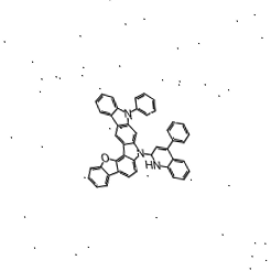 C1=C(c2ccccc2)c2ccccc2NC1n1c2cc3c(cc2c2c4oc5ccccc5c4ccc21)c1ccccc1n3-c1ccccc1